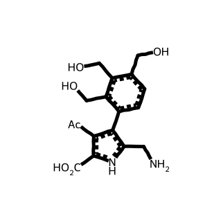 CC(=O)c1c(C(=O)O)[nH]c(CN)c1-c1ccc(CO)c(CO)c1CO